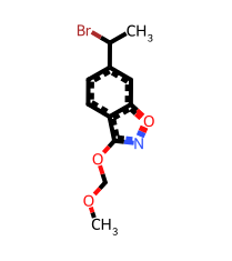 COCOc1noc2cc(C(C)Br)ccc12